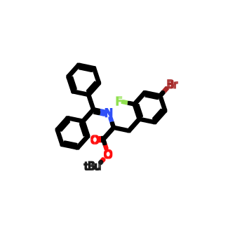 CC(C)(C)OC(=O)C(Cc1ccc(Br)cc1F)N=C(c1ccccc1)c1ccccc1